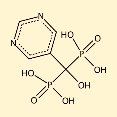 O=P(O)(O)C(O)(c1cncnc1)P(=O)(O)O